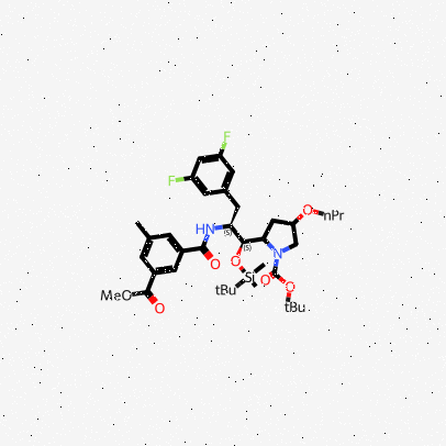 CCCOC1CC([C@@H](O[Si](C)(C)C(C)(C)C)[C@H](Cc2cc(F)cc(F)c2)NC(=O)c2cc(C)cc(C(=O)OC)c2)N(C(=O)OC(C)(C)C)C1